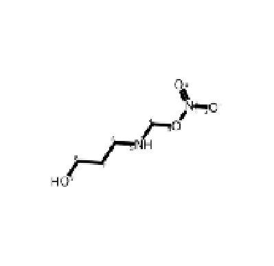 O=[N+]([O-])OCNCCCO